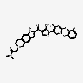 Cc1cc(Oc2c(F)cccc2F)ncc1-n1ncc(C(=O)c2cc3cc4c(cc3[nH]2)CCN(CC(=O)N(C)C)C4)c1N